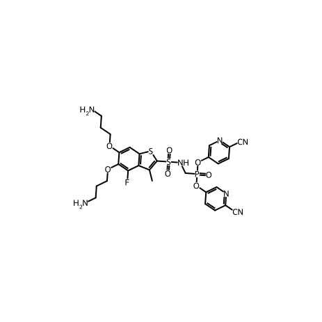 Cc1c(S(=O)(=O)NCP(=O)(Oc2ccc(C#N)nc2)Oc2ccc(C#N)nc2)sc2cc(OCCCN)c(OCCCN)c(F)c12